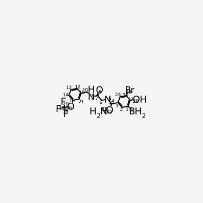 Bc1cc(/C(=N/CC(=O)NCc2cccc(OC(F)(F)F)c2)ON)cc(Br)c1O